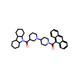 O=C(c1c2ccccc2cc2ccccc12)N1CCC(N2CCCC(C(=O)N3C4CCCCC4C4CCCCC43)C2)CC1